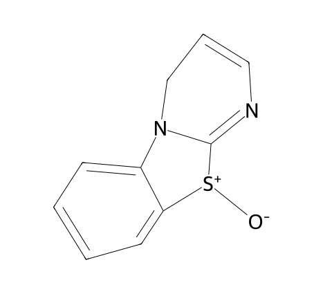 [O-][S+]1C2=NC=CCN2c2ccccc21